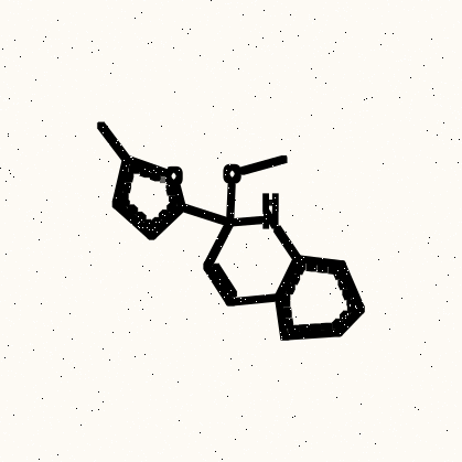 COC1(c2ccc(C)o2)C=Cc2ccccc2N1